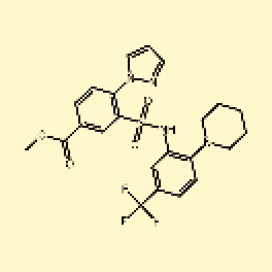 COC(=O)c1ccc(-n2cccn2)c(S(=O)(=O)Nc2cc(C(F)(F)F)ccc2N2CCCCC2)c1